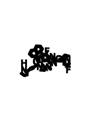 CN(c1nc(OC[C@@]23CCCN2C[C@H](F)C3)nc2c(F)c(-c3cccc4cccc(Cl)c34)ncc12)[C@@H]1CCN(C(=O)C#CC2CCCN2)C1